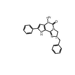 CCCN1C(=O)N2C[C@@H](Cc3ccccc3)N=C2c2[nH]c(-c3ccccc3)cc21